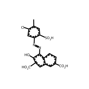 Cc1cc(S(=O)(=O)O)c(N=Nc2c(O)c(C(=O)O)cc3cc(C(=O)O)ccc23)cc1Cl